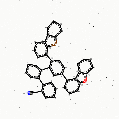 N#Cc1ccccc1-c1ccccc1-c1cc(-c2cccc3oc4ccccc4c23)ccc1-c1cccc2c1sc1ccccc12